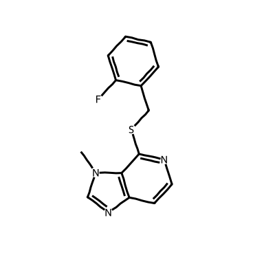 Cn1cnc2ccnc(SCc3ccccc3F)c21